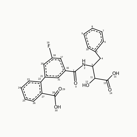 O=C(NC(Cc1ccccc1)C(O)C(=O)O)c1cc(F)cc(-c2ccccc2C(=O)O)c1